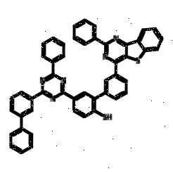 Sc1ccc(-c2nc(-c3ccccc3)nc(-c3cccc(-c4ccccc4)c3)n2)cc1-c1cccc(-c2nc(-c3ccccc3)nc3c2sc2ccccc23)c1